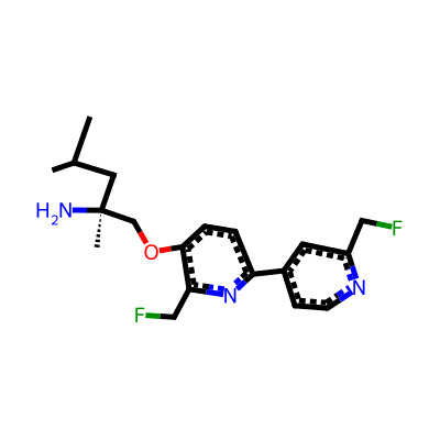 CC(C)C[C@](C)(N)COc1ccc(-c2ccnc(CF)c2)nc1CF